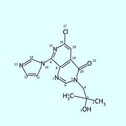 CC(C)(O)Cn1cnc2c(-n3ccnc3)nc(Cl)cc2c1=O